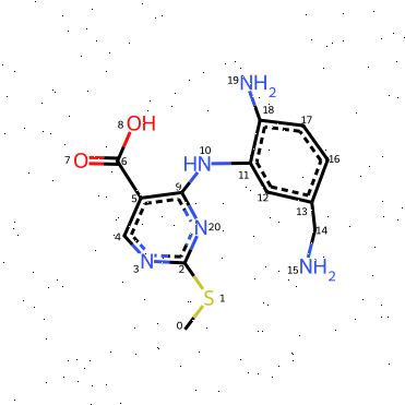 CSc1ncc(C(=O)O)c(Nc2cc(CN)ccc2N)n1